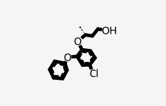 C[C@H](CCO)Oc1ccc(Cl)cc1Oc1ccccc1